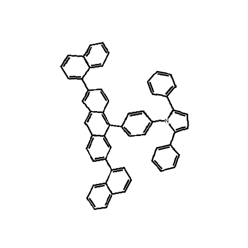 c1ccc(-c2ccc(-c3ccccc3)n2-c2ccc(-c3c4ccc(-c5cccc6ccccc56)cc4cc4ccc(-c5cccc6ccccc56)cc34)cc2)cc1